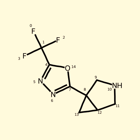 FC(F)(F)c1nnc(C23CNCC2C3)o1